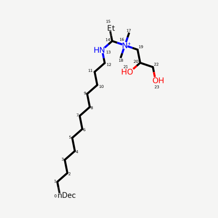 CCCCCCCCCCCCCCCCCCCCCCNC(CC)[N+](C)(C)CC(O)CO